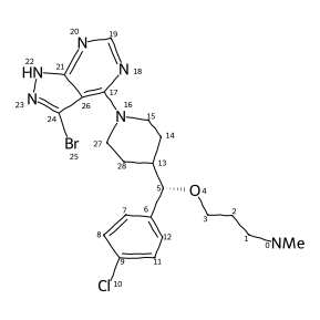 CNCCCO[C@H](c1ccc(Cl)cc1)C1CCN(c2ncnc3[nH]nc(Br)c23)CC1